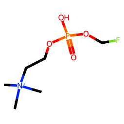 C[N+](C)(C)CCOP(=O)(O)OCF